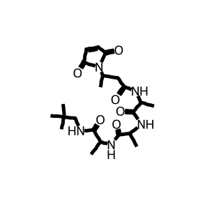 CC(NC(=O)CC(C)N1C(=O)C=CC1=O)C(=O)NC(C)C(=O)NC(C)C(=O)NCC(C)(C)C